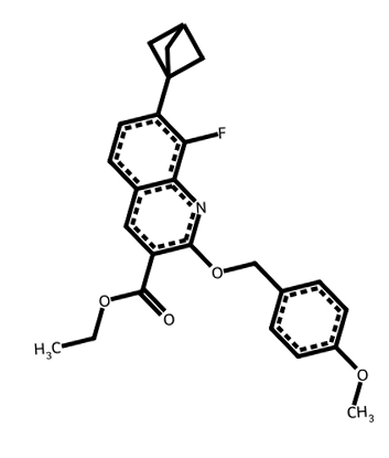 CCOC(=O)c1cc2ccc(C34CC(C3)C4)c(F)c2nc1OCc1ccc(OC)cc1